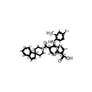 Cc1cc(F)ccc1Nc1c(C(=O)N2CCC3(C=Cc4ccccc43)CC2)cnc2c(C(=O)O)cnn12